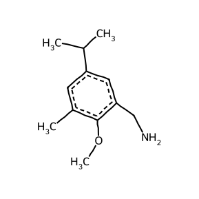 COc1c(C)cc(C(C)C)cc1CN